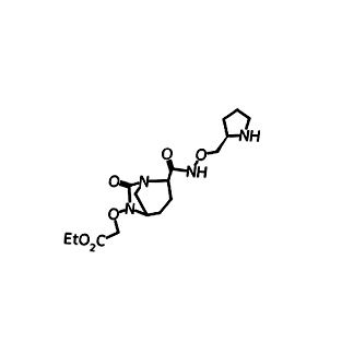 CCOC(=O)CON1C(=O)N2CC1CCC2C(=O)NOC[C@H]1CCCN1